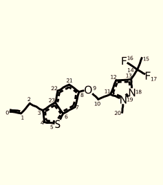 C=CCc1csc2cc(OCc3cc(C(C)(F)F)nn3C)ccc12